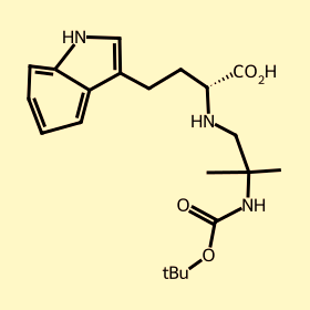 CC(C)(CN[C@H](CCc1c[nH]c2ccccc12)C(=O)O)NC(=O)OC(C)(C)C